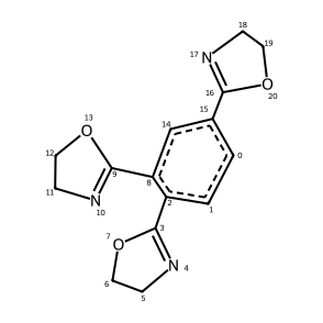 c1cc(C2=NCCO2)c(C2=NCCO2)cc1C1=NCCO1